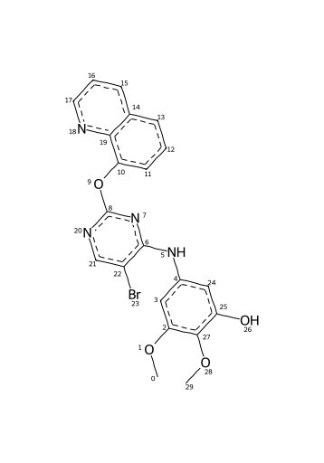 COc1cc(Nc2nc(Oc3cccc4cccnc34)ncc2Br)cc(O)c1OC